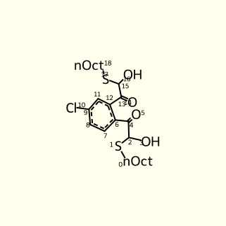 CCCCCCCCSC(O)C(=O)c1ccc(Cl)cc1C(=O)C(O)SCCCCCCCC